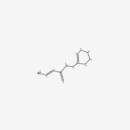 N#CC=CC(=O)OCC1=CCCCC1